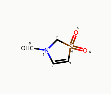 O=[C]N1C=CS(=O)(=O)C1